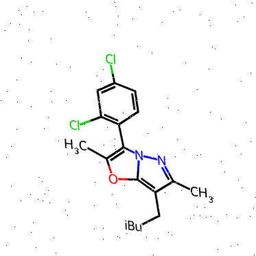 CCC(C)Cc1c(C)nn2c(-c3ccc(Cl)cc3Cl)c(C)oc12